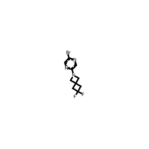 FC1(F)CC2(CN(c3cnc(Br)cn3)C2)C1